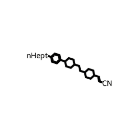 CCCCCCCc1ccc(C2CCC(CCC3CCC(C=CC#N)CC3)CC2)cc1